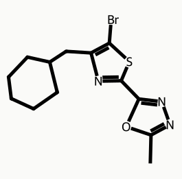 Cc1nnc(-c2nc(CC3CCCCC3)c(Br)s2)o1